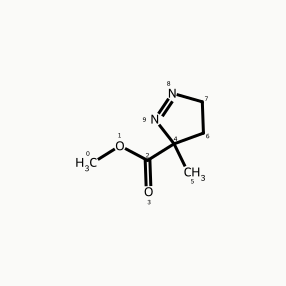 COC(=O)C1(C)CCN=N1